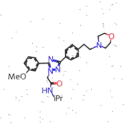 COc1cccc(-c2nc(-c3ccc(CCN4C[C@@H](C)O[C@@H](C)C4)cc3)nn2CC(=O)NC(C)C)c1